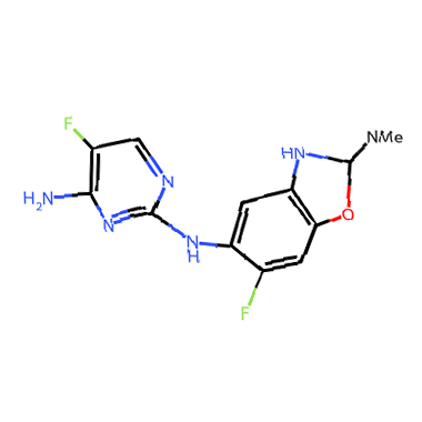 CNC1Nc2cc(Nc3ncc(F)c(N)n3)c(F)cc2O1